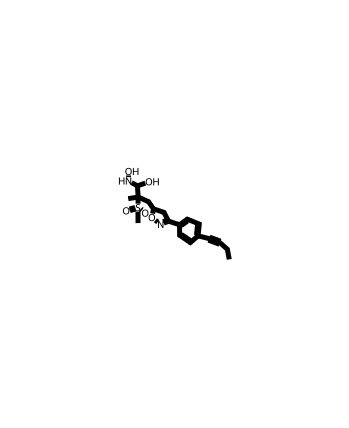 CCC#Cc1ccc(C2=NOC(CC(C)(C(O)NO)S(C)(=O)=O)C2)cc1